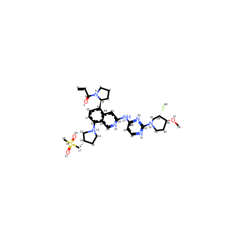 C=CC(=O)N1CCC[C@H]1c1ccc(N2CC[C@H](CS(C)(=O)=O)C2)c2cnc(Nc3ccnc(N4CC[C@@H](OC)[C@@H](F)C4)n3)cc12